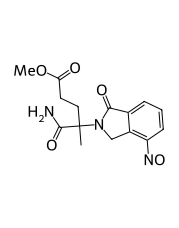 COC(=O)CCC(C)(C(N)=O)N1Cc2c(N=O)cccc2C1=O